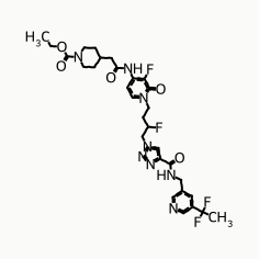 CCOC(=O)N1CCC(CC(=O)Nc2ccn(CCC(F)Cn3cc(C(=O)NCc4cncc(C(C)(F)F)c4)nn3)c(=O)c2F)CC1